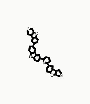 c1cc(-c2ccc3oc4cnccc4c3c2)nc(-c2ccc3oc4ccc(-c5ccc6oc7cnccc7c6c5)cc4c3c2)c1